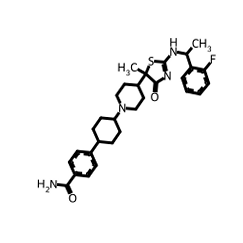 CC(NC1=NC(=O)C(C)(C2CCN(C3CCC(c4ccc(C(N)=O)cc4)CC3)CC2)S1)c1ccccc1F